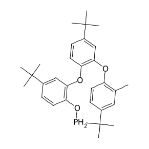 Cc1cc(C(C)(C)C)ccc1Oc1cc(C(C)(C)C)ccc1Oc1cc(C(C)(C)C)ccc1OP